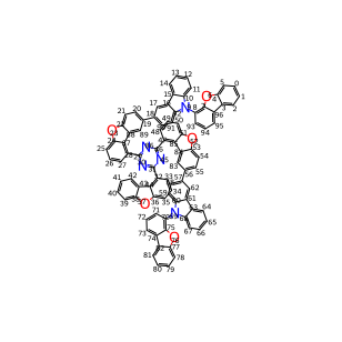 c1ccc2c(c1)oc1c(-n3c4ccccc4c4cc(-c5ccc6oc7cccc(-c8nc(-c9cccc%10oc%11ccccc%11c9%10)nc(-c9cccc%10oc%11ccc(-c%12ccc%13c(c%12)c%12ccccc%12n%13-c%12cccc%13c%12oc%12ccccc%12%13)cc%11c9%10)n8)c7c6c5)ccc43)cccc12